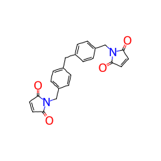 O=C1C=CC(=O)N1Cc1ccc(Cc2ccc(CN3C(=O)C=CC3=O)cc2)cc1